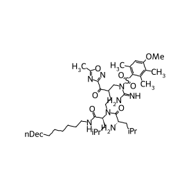 CCCCCCCCCCCCCCCCNC(=O)[C@H](CC(C)C)N(CCC(CN(C(=N)N)S(=O)(=O)c1c(C)cc(OC)c(C)c1C)C(=O)c1noc(C)n1)C(=O)[C@@H](N)CC(C)C